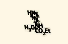 CCOC(=O)C(C)NCCN1CCNCC1